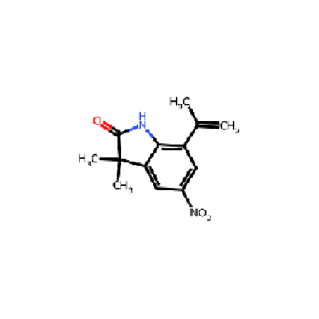 C=C(C)c1cc([N+](=O)[O-])cc2c1NC(=O)C2(C)C